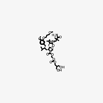 COCCCOc1cc(C[C@@H](C[C@H]2[C@H](C[C@H](C(=O)NCC(C)(C)C(N)=O)C(C)C)OCN2C(=O)OCOC(=O)OCC(CO)CO)C(C)C)ccc1OC